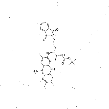 CC1=NC=C(Nc2nc(N[C@H](CCCN3C(=O)c4ccccc4C3=O)[C@H](C)NC(=O)OC(C)(C)C)c(F)cc2C(N)=O)CC1C